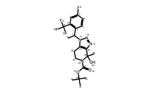 CC(c1ccc(F)cc1C(F)(F)F)n1nnc2c1CCN(C(=O)OC(C)(C)C)C2(C)O